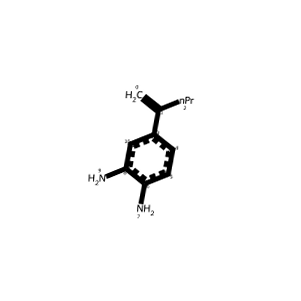 C=C(CCC)c1ccc(N)c(N)c1